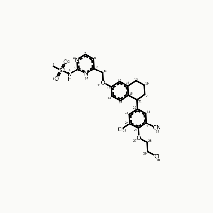 CS(=O)(=O)Nc1nccc(COc2ccc3c(c2)CCCC3c2cc(Cl)c(OCCCl)c(C#N)c2)n1